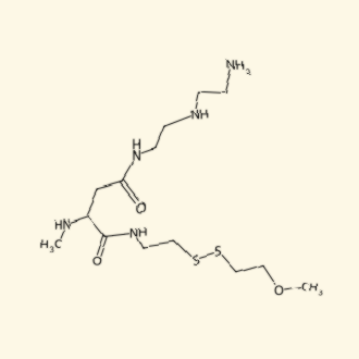 CNC(CC(=O)NCCNCCN)C(=O)NCCSSCCOC